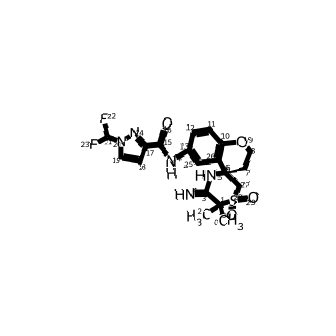 CC1(C)C(=N)N[C@@]2(CCOc3ccc(NC(=O)c4ccn(C(F)F)n4)cc32)CS1(=O)=O